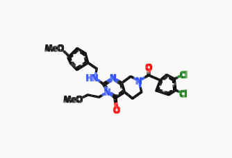 COCCn1c(NCc2ccc(OC)cc2)nc2c(c1=O)CCN(C(=O)c1ccc(Cl)c(Cl)c1)C2